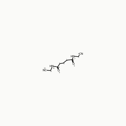 N#CCNC(=O)CCCC(=O)NCC#N